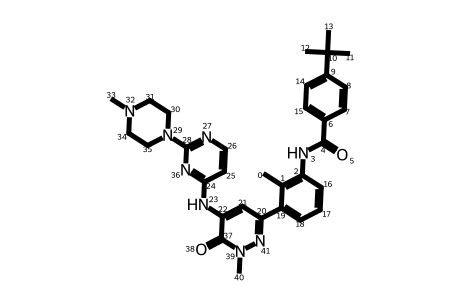 Cc1c(NC(=O)c2ccc(C(C)(C)C)cc2)cccc1-c1cc(Nc2ccnc(N3CCN(C)CC3)n2)c(=O)n(C)n1